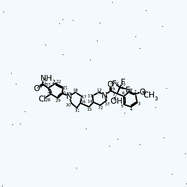 COc1cccc([C@@](O)(C(=O)N2CCC(CC3CCN(c4ccc(C(N)=O)c(Cl)c4)CC3)CC2)C(F)(F)F)c1